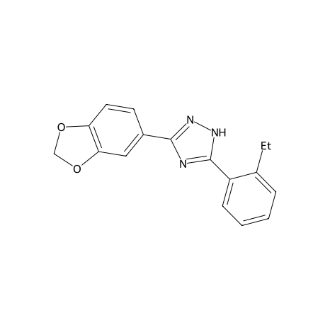 CCc1ccccc1-c1nc(-c2ccc3c(c2)OCO3)n[nH]1